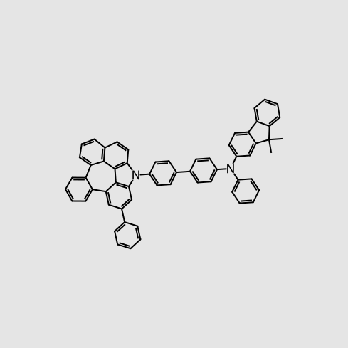 CC1(C)c2ccccc2-c2ccc(N(c3ccccc3)c3ccc(-c4ccc(-n5c6cc(-c7ccccc7)cc7c6c6c8c(cccc8ccc65)-c5ccccc5-7)cc4)cc3)cc21